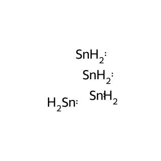 [SnH2].[SnH2].[SnH2].[SnH2]